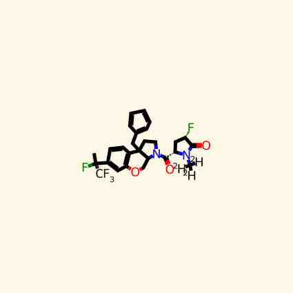 [2H]C([2H])([2H])N1C(=O)[C@@H](F)C[C@H]1C(=O)N1CCC2(Cc3ccccc3)c3ccc(C(C)(F)C(F)(F)F)cc3OCC12